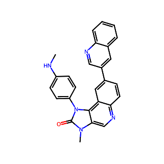 CNc1ccc(-n2c(=O)n(C)c3cnc4ccc(-c5cnc6ccccc6c5)cc4c32)cc1